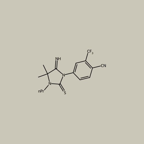 CCCN1C(=S)N(c2ccc(C#N)c(C(F)(F)F)c2)C(=N)C1(C)C